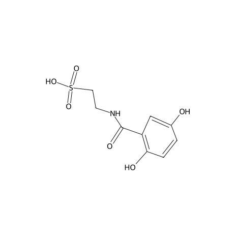 O=C(NCCS(=O)(=O)O)c1cc(O)ccc1O